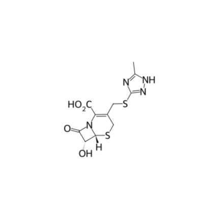 Cc1nc(SCC2=C(C(=O)O)N3C(=O)[C@@H](O)[C@H]3SC2)n[nH]1